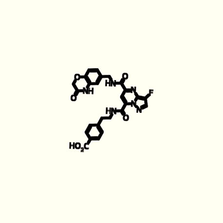 O=C1COc2ccc(CNC(=O)c3cc(C(=O)NCCc4ccc(C(=O)O)cc4)n4ncc(F)c4n3)cc2N1